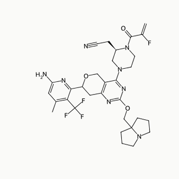 C=C(F)C(=O)N1CCN(c2nc(OCC34CCCN3CCC4)nc3c2COC(c2nc(N)cc(C)c2C(F)(F)F)C3)C[C@H]1CC#N